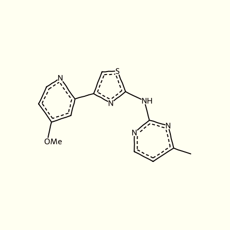 COc1ccnc(-c2csc(Nc3nccc(C)n3)n2)c1